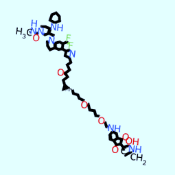 C=C1CCC(C2C(=O)C3C=CC(NCCOCCCCCOCCCCC[C@@H]4CC4CCC(=O)CCCC4CC(C5CC6=C(CC5C(F)F)N(CC5=C(NC7CCCCC7)CCN(C(=O)NC)C5)CCC6)C=N4)CC3C2=O)C(O)N1